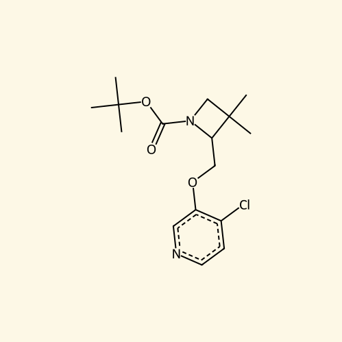 CC(C)(C)OC(=O)N1CC(C)(C)C1COc1cnccc1Cl